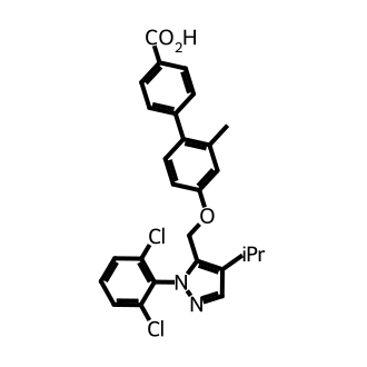 Cc1cc(OCc2c(C(C)C)cnn2-c2c(Cl)cccc2Cl)ccc1-c1ccc(C(=O)O)cc1